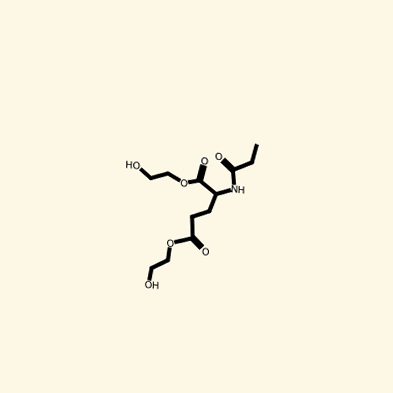 CCC(=O)NC(CCC(=O)OCCO)C(=O)OCCO